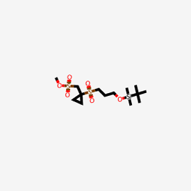 COS(=O)(=O)CC1(S(=O)(=O)CCCO[Si](C)(C)C(C)(C)C)CC1